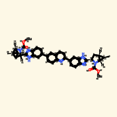 C[C@@H]1[C@@H]2C[C@@H](c3nc4ccc(-c5ccc6cc(-c7ccc8nc([C@@H]9C%10[C@@H]%11[C@H](N9C(=O)OC(C)(C)C)[C@]%10%11C)[nH]c8c7)ccc6n5)cc4[nH]3)N(C(=O)OC(C)(C)C)[C@H]12